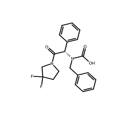 O=C([C@H](c1ccccc1)N(Cc1ccccc1)C(=O)O)N1CCC(F)(F)C1